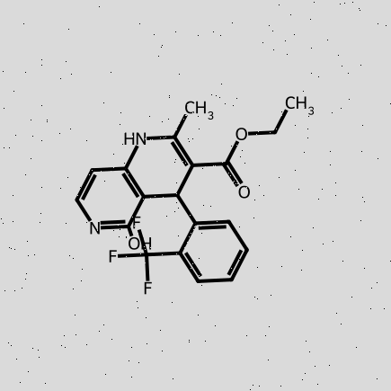 CCOC(=O)C1=C(C)Nc2ccnc(O)c2C1c1ccccc1C(F)(F)F